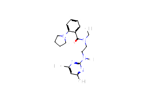 CCN(CCN(C)c1nc(C)cc(C)n1)C(=O)c1ccccc1N1CCCC1